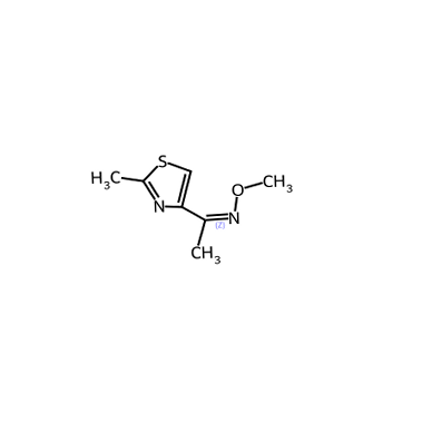 CO/N=C(/C)c1csc(C)n1